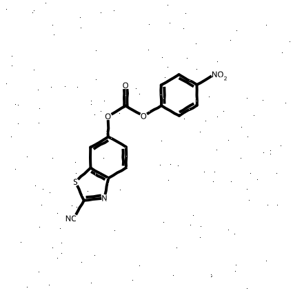 N#Cc1nc2ccc(OC(=O)Oc3ccc([N+](=O)[O-])cc3)cc2s1